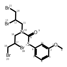 COc1cccc(SC(=O)N(CC(Br)CBr)CC(Br)CBr)c1